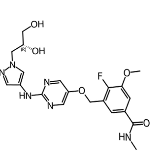 CNC(=O)c1cc(COc2cnc(Nc3cnn(C[C@@H](O)CO)c3)nc2)c(F)c(OC)c1